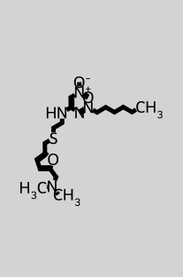 CCCCCCN=NC(=C[N+](=O)[O-])NCCSCc1ccc(CN(C)C)o1